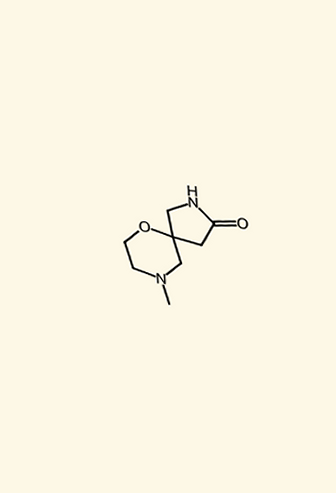 CN1CCOC2(CNC(=O)C2)C1